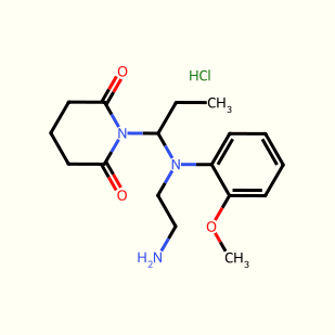 CCC(N1C(=O)CCCC1=O)N(CCN)c1ccccc1OC.Cl